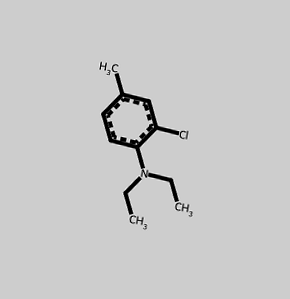 CCN(CC)c1ccc(C)cc1Cl